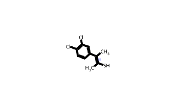 C/C(S)=C(/C)c1ccc(Cl)c(Cl)c1